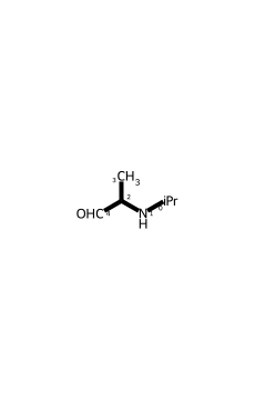 CC(C)NC(C)C=O